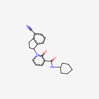 N#Cc1cccc2c1CCC2n1cccc(C(=O)NC2CCCCC2)c1=O